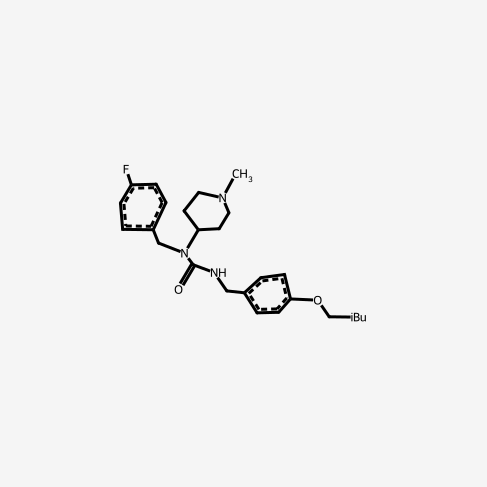 CCC(C)COc1ccc(CNC(=O)N(Cc2ccc(F)cc2)C2CCN(C)CC2)cc1